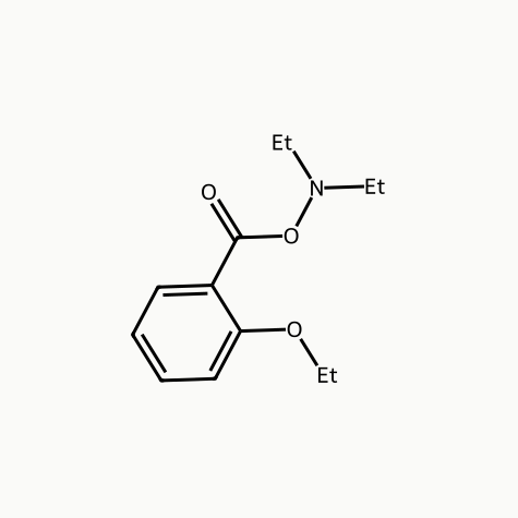 CCOc1ccccc1C(=O)ON(CC)CC